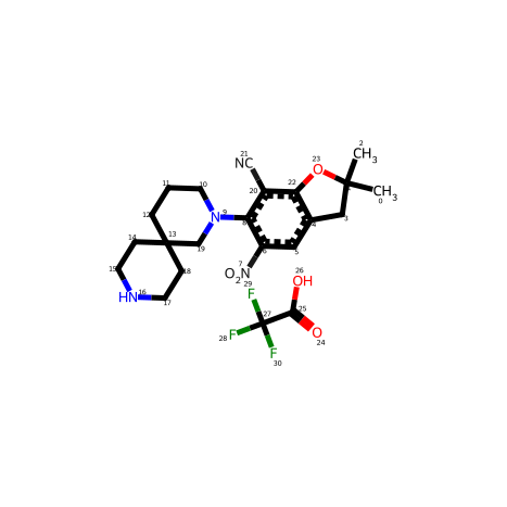 CC1(C)Cc2cc([N+](=O)[O-])c(N3CCCC4(CCNCC4)C3)c(C#N)c2O1.O=C(O)C(F)(F)F